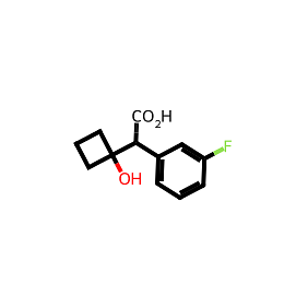 O=C(O)C(c1cccc(F)c1)C1(O)CCC1